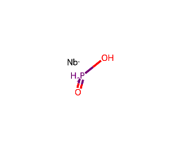 O=[PH2]O.[Nb]